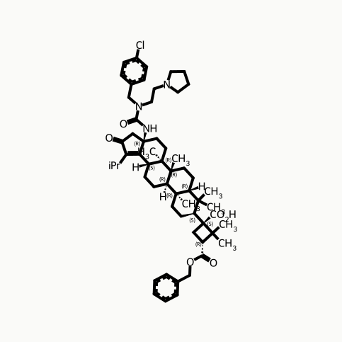 CC(C)C1=C2[C@H]3CC[C@@H]4[C@]5(C)CC[C@H]([C@@]6(C(=O)O)C[C@@H](C(=O)OCc7ccccc7)C6(C)C)C(C)(C)[C@H]5CC[C@@]4(C)[C@]3(C)CC[C@@]2(NC(=O)N(CCN2CCCC2)Cc2ccc(Cl)cc2)CC1=O